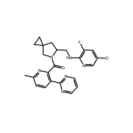 Cc1ccc(-c2ncccn2)c(C(=O)N2CC3(CC3)CC2CNc2ncc(Cl)cc2F)n1